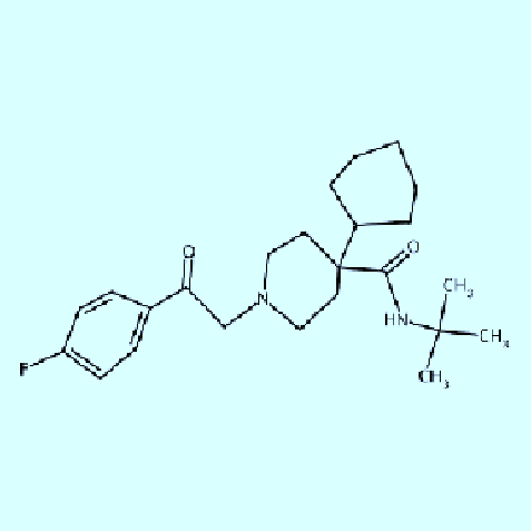 CC(C)(C)NC(=O)C1(C2CCCCC2)CCN(CC(=O)c2ccc(F)cc2)CC1